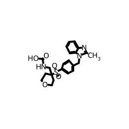 Cc1nc2ccccc2n1Cc1ccc(S(=O)(=O)C2(CNC(=O)O)CCOCC2)cc1